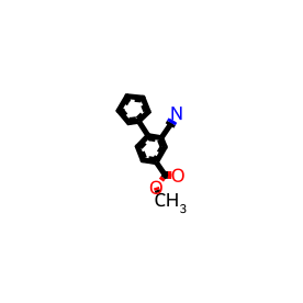 COC(=O)c1ccc(-c2ccccc2)c(C#N)c1